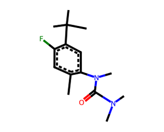 Cc1cc(F)c(C(C)(C)C)cc1N(C)C(=O)N(C)C